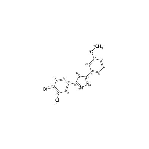 COc1cccc(-c2nnc(-c3ccc(Br)c(Cl)c3)s2)c1